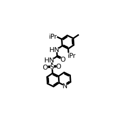 Cc1cc(C(C)C)c(NC(=O)NS(=O)(=O)c2cccc3ncccc23)c(C(C)C)c1